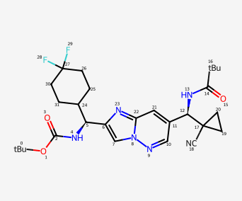 CC(C)(C)OC(=O)N[C@H](c1cn2ncc([C@@H](NC(=O)C(C)(C)C)C3(C#N)CC3)cc2n1)C1CCC(F)(F)CC1